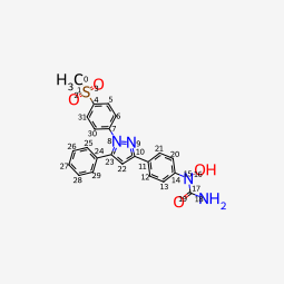 CS(=O)(=O)c1ccc(-n2nc(-c3ccc(N(O)C(N)=O)cc3)cc2-c2ccccc2)cc1